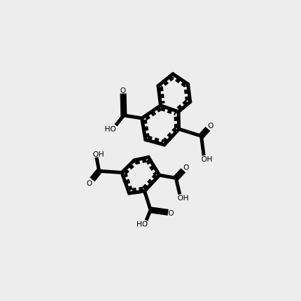 O=C(O)c1ccc(C(=O)O)c(C(=O)O)c1.O=C(O)c1ccc(C(=O)O)c2ccccc12